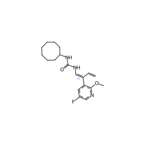 C=C/C(=C\NC(=O)NC1CCCCCCC1)c1cc(F)cnc1OC